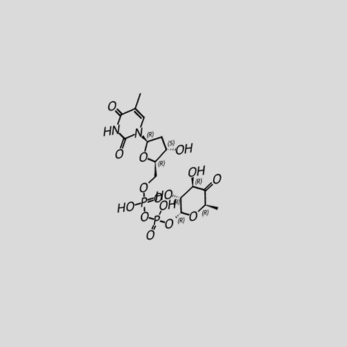 Cc1cn([C@H]2C[C@H](O)[C@@H](COP(=O)(O)OP(=O)(O)O[C@H]3O[C@H](C)C(=O)[C@H](O)[C@H]3O)O2)c(=O)[nH]c1=O